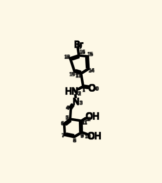 O=C(NN=Cc1cccc(O)c1O)c1ccc(Br)cc1